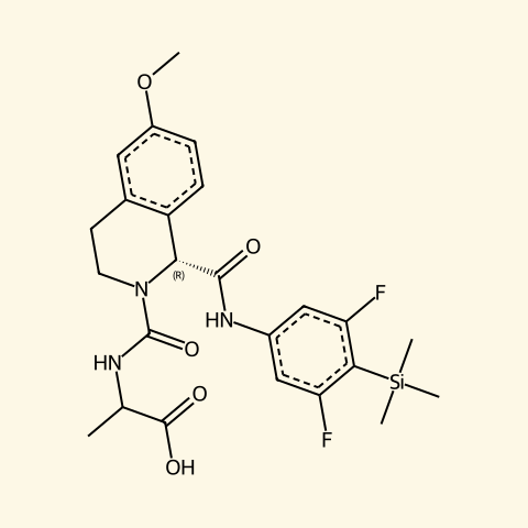 COc1ccc2c(c1)CCN(C(=O)NC(C)C(=O)O)[C@H]2C(=O)Nc1cc(F)c([Si](C)(C)C)c(F)c1